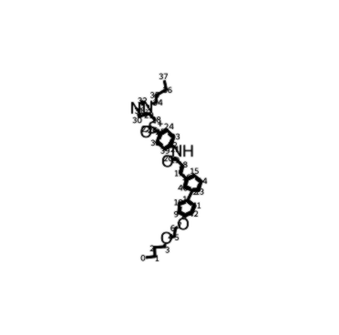 CCCCOCCOc1ccc(-c2cccc(/C=C/C(=O)Nc3ccc([S@+]([O-])Cc4cncn4CCCC)cc3)c2)cc1